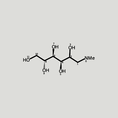 CNCC(O)[C@@H](O)[C@H](O)[C@H](O)CO